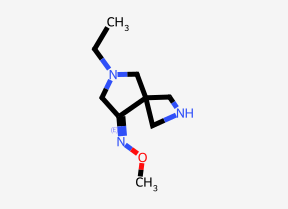 CCN1C/C(=N/OC)C2(CNC2)C1